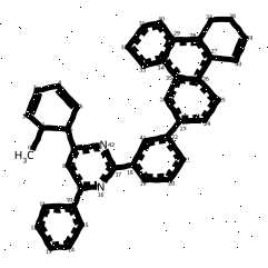 CC1C=CC=CC1c1cc(-c2ccccc2)nc(-c2cccc(-c3ccc4c5c(c6ccccc6c4c3)CCC=C5)c2)n1